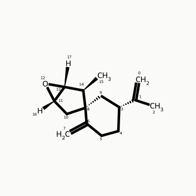 C=C(C)[C@@H]1CCC(=C)[C@@]2(C1)C[C@@H]1O[C@@H]1[C@H]2C